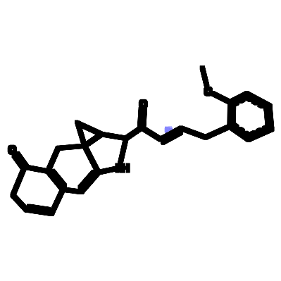 COc1ccccc1C/C=C/C(=O)C1NC2=CC3=C(CC24CC14)C(=O)CC=C3